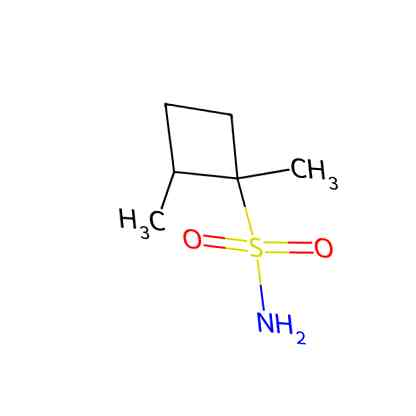 CC1CCC1(C)S(N)(=O)=O